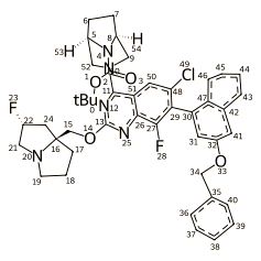 CC(C)(C)OC(=O)N1[C@@H]2CC[C@H]1CN(c1nc(OC[C@@]34CCCN3C[C@H](F)C4)nc3c(F)c(-c4cc(OCc5ccccc5)cc5ccccc45)c(Cl)cc13)C2